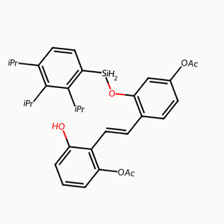 CC(=O)Oc1ccc(C=Cc2c(O)cccc2OC(C)=O)c(O[SiH2]c2ccc(C(C)C)c(C(C)C)c2C(C)C)c1